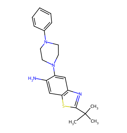 CC(C)(C)c1nc2cc(N3CCN(c4ccccc4)CC3)c(N)cc2s1